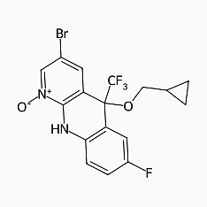 [O-][n+]1cc(Br)cc2c1Nc1ccc(F)cc1C2(OCC1CC1)C(F)(F)F